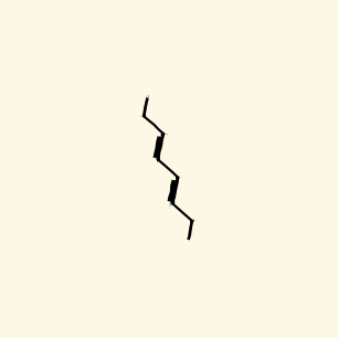 SCC=CC=CCS